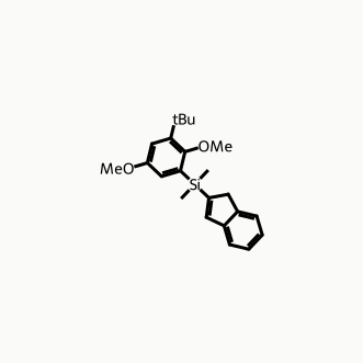 COc1cc(C(C)(C)C)c(OC)c([Si](C)(C)C2=Cc3ccccc3C2)c1